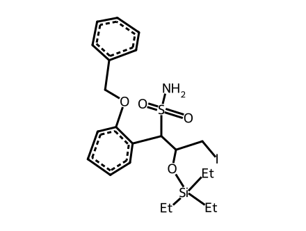 CC[Si](CC)(CC)OC(CI)C(c1ccccc1OCc1ccccc1)S(N)(=O)=O